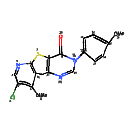 CNc1c(Cl)cnc2sc3c(=O)n(-c4ccc(OC)cc4)cnc3c12